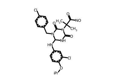 CC(C)Oc1ccc(NC2NC(=O)N(C(C)(C)C(=O)N=O)C(=O)N2Cc2ccc(Cl)cc2)cc1Cl